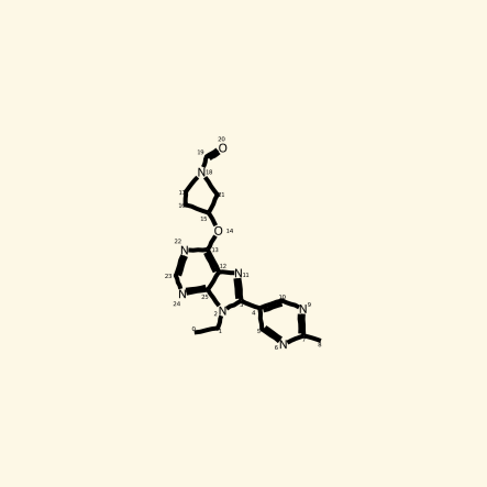 CCn1c(-c2cnc(C)nc2)nc2c(OC3CCN(C=O)C3)ncnc21